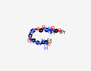 CCc1cc2ncc(CN3CCN(c4ccc(C(=O)N5CCC(CN6CCN(CCOc7cccc(C(=O)N8CCc9c(nc(C(=O)Nc%10ccc(OC(C)C)cc%10)n9C(C)C)C8)c7)CC6)CC5)nc4)CC3)cc2[nH]c1=O